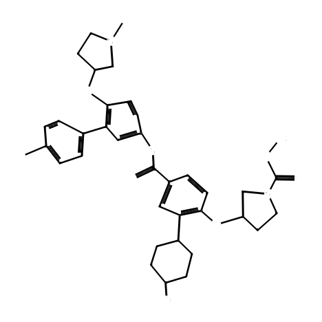 CC(C)(C)OC(=O)N1CCC(Oc2ccc(C(=O)Nc3ccc(OC4CCN(C(=O)O)C4)c(-c4ccc(F)cc4)c3)cc2C2CCC(C(F)(F)F)CC2)C1